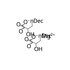 CCCCCCCCCCCC(O)S(=O)(=O)[O-].CCCCCCCCCCCC(O)S(=O)(=O)[O-].[Mg+2]